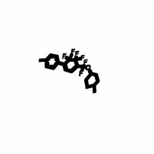 Cc1ccc(C2=CC=C(C(F)(F)OC3CCC(C)CC3)C(F)(F)C2(F)F)cc1